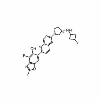 Cc1nc2c(F)c(O)c(-c3ccc4nc(N5CC[C@H](NC6CC(F)C6)C5)ccc4n3)cc2o1